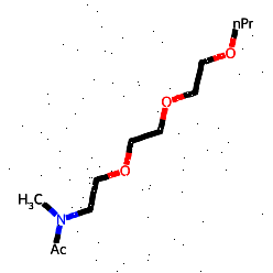 CCCOCCOCCOCCN(C)C(C)=O